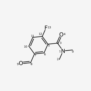 CN(C)C(=O)c1cc(C=O)ccc1F